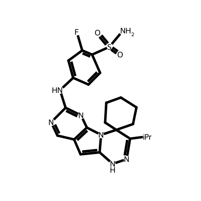 CC(C)C1=NNc2cc3cnc(Nc4ccc(S(N)(=O)=O)c(F)c4)nc3n2C12CCCCC2